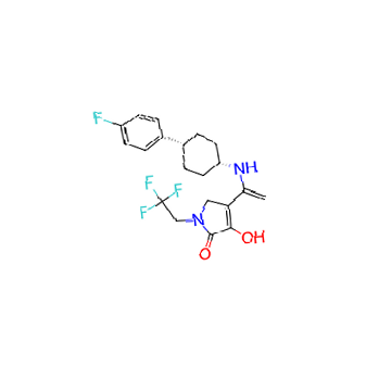 C=C(N[C@H]1CC[C@@H](c2ccc(F)cc2)CC1)C1=C(O)C(=O)N(CC(F)(F)F)C1